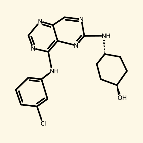 O[C@H]1CC[C@H](Nc2ncc3ncnc(Nc4cccc(Cl)c4)c3n2)CC1